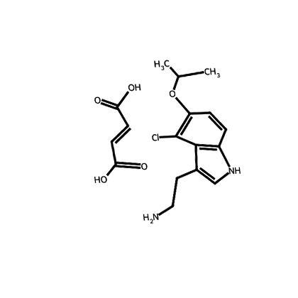 CC(C)Oc1ccc2[nH]cc(CCN)c2c1Cl.O=C(O)/C=C/C(=O)O